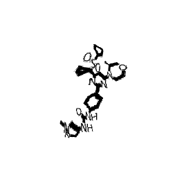 C[C@H]1COCCN1c1cc(C2(S(=O)(=O)C3CCCC3)CC2)nc(-c2ccc(NC(=O)Nc3cnn(C)c3)cc2)n1